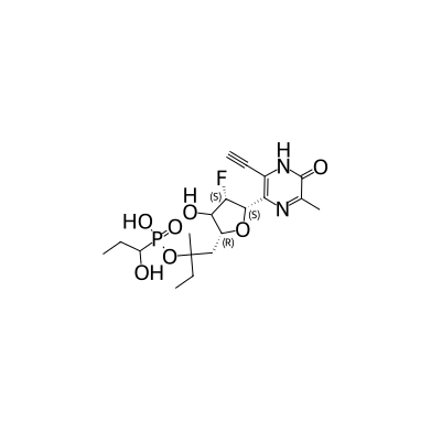 C#Cc1[nH]c(=O)c(C)nc1[C@@H]1O[C@H](CC(C)(CC)OP(=O)(O)C(O)CC)C(O)[C@@H]1F